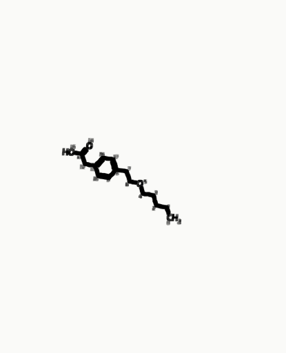 CCCCCOCCc1ccc(CC(=O)O)cc1